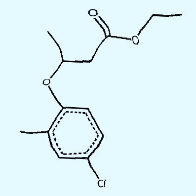 CCOC(=O)CC(C)Oc1ccc(Cl)cc1C